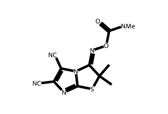 CNC(=O)ON=C1n2c(nc(C#N)c2C#N)SC1(C)C